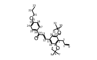 C=CCc1c(OC(C)(C)C)cc(C=CC(=O)c2ccc(OCCC)cc2)cc1OC(C)(C)C